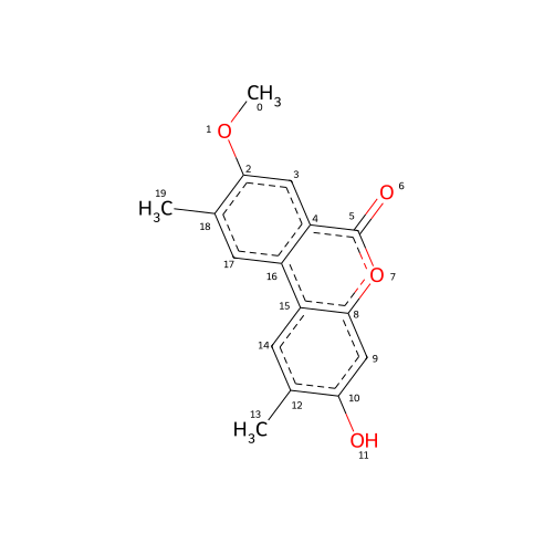 COc1cc2c(=O)oc3cc(O)c(C)cc3c2cc1C